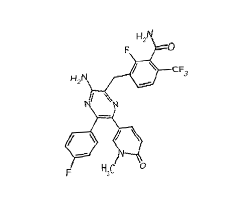 Cn1cc(-c2nc(Cc3ccc(C(F)(F)F)c(C(N)=O)c3F)c(N)nc2-c2ccc(F)cc2)ccc1=O